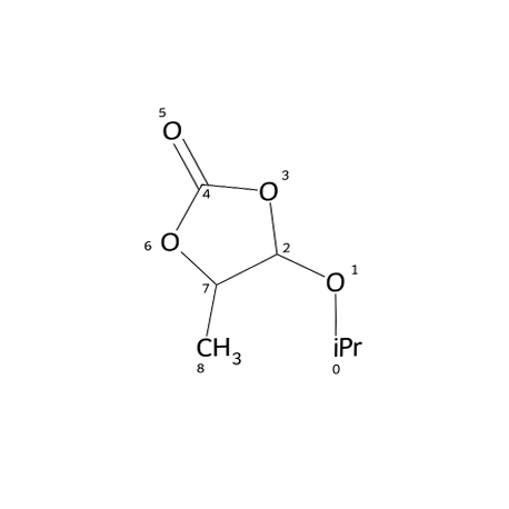 CC(C)OC1OC(=O)OC1C